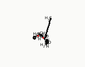 CCCCCCCCCCCCCCCCCC(=O)OCC(CCOC(=O)[C@@H](NC(=O)OCc1ccccc1)C(C)C)Cn1cnc2c(=O)[nH]c(N)nc21